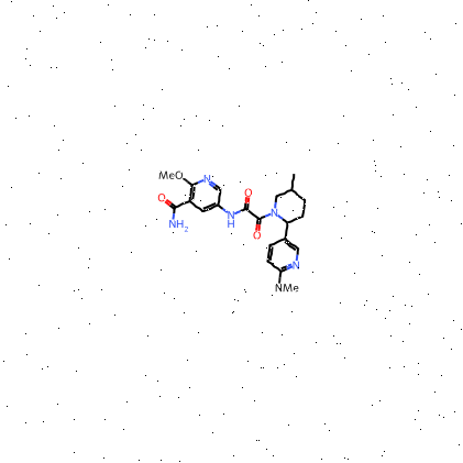 CNc1ccc(C2CCC(C)CN2C(=O)C(=O)Nc2cnc(OC)c(C(N)=O)c2)cn1